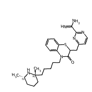 C[C@H]1CCC[C@@](C)(CCCCCN2C(=O)C(Cc3ccnc(C(=N)N)n3)Sc3ccccc32)N1